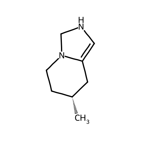 C[C@@H]1CCN2CNC=C2C1